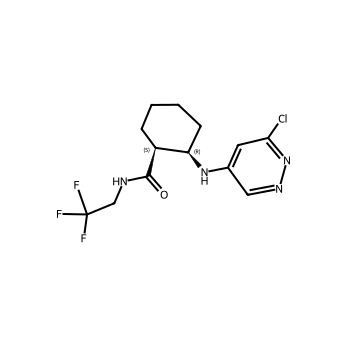 O=C(NCC(F)(F)F)[C@H]1CCCC[C@H]1Nc1cnnc(Cl)c1